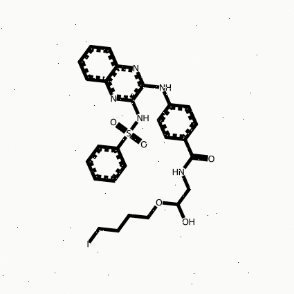 O=C(NCC(O)OCCCCI)c1ccc(Nc2nc3ccccc3nc2NS(=O)(=O)c2ccccc2)cc1